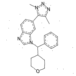 Cc1nnn(C)c1-c1ccc2ncn(C(c3ccccc3)C3CCOCC3)c2c1